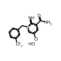 Cl.N=c1c(C(N)=O)cc(Cl)cn1Cc1cccc(C(F)(F)F)c1